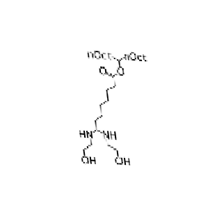 CCCCCCCCC(CCCCCCCC)OC(=O)CCCCCCC(NCCO)NCCO